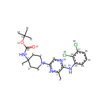 Cc1nc(N2CCC(C)(NC(=O)OC(C)(C)C)CC2)cnc1Nc1cccc(Cl)c1Cl